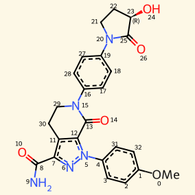 COc1ccc(-n2nc(C(N)=O)c3c2C(=O)N(c2ccc(N4CC[C@@H](O)C4=O)cc2)CC3)cc1